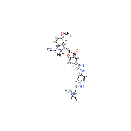 CCn1c(C)c(/C=C2\Oc3ccc(NC(=O)Nc4ccc(NCCN(C)C)cc4)cc3C2=O)c2cc(OC)ccc21